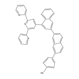 N#Cc1ccc(-c2ccc3ccc(-c4cc(-c5cc(-c6ccccn6)nc(-c6ccccn6)c5)c5ccccc5c4)cc3c2)cc1